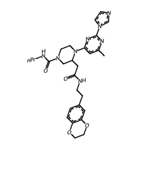 CCCNC(=O)N1CCN(c2cc(C)nc(-n3ccnc3)n2)C(CC(=O)NCCc2ccc3c(c2)OCCO3)C1